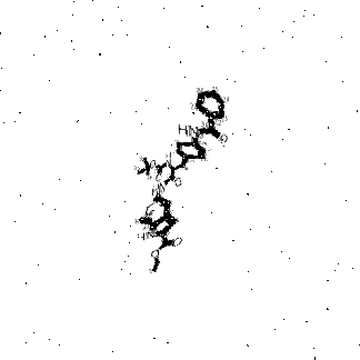 CCOC(=O)c1cc2cc(NC(=O)C(Cc3ccc(NC(=O)c4ccccc4)cc3)NC(=O)OC(C)(C)C)ccc2[nH]1